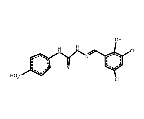 O=C(O)c1ccc(NC(=S)N/N=C/c2cc(Cl)cc(Cl)c2O)cc1